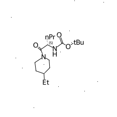 [CH2]CC[C@H](NC(=O)OC(C)(C)C)C(=O)N1CCC(CC)CC1